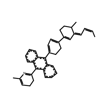 C/C=C\C=C1\C=C(C2=CC=C(c3c4ccccc4c(C4=NC(C)=CCC4)c4ccccc34)CC2)CCC1C